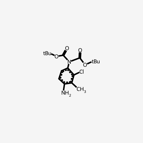 Cc1c(N)ccc(N(C(=O)OC(C)(C)C)C(=O)OC(C)(C)C)c1Cl